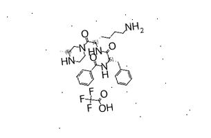 C[C@@H]1CN(C(=O)[C@H](CCCCN)NC(=O)[C@H](Cc2ccccc2)NC(=O)c2ccccc2)CCN1.O=C(O)C(F)(F)F